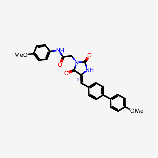 COc1ccc(NC(=O)CN2C(=O)N/C(=C\c3ccc(-c4ccc(OC)cc4)cc3)C2=O)cc1